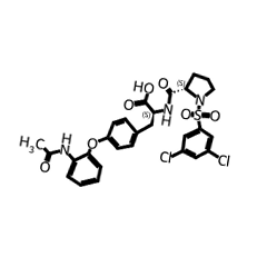 CC(=O)Nc1ccccc1Oc1ccc(C[C@H](NC(=O)[C@@H]2CCCN2S(=O)(=O)c2cc(Cl)cc(Cl)c2)C(=O)O)cc1